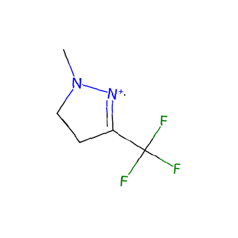 CN1CCC(C(F)(F)F)=[N+]1